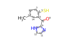 Cc1ccc(S)c(C(=O)c2ncc[nH]2)c1